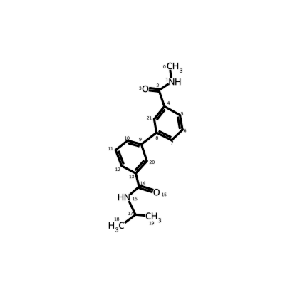 CNC(=O)c1cccc(-c2cccc(C(=O)NC(C)C)c2)c1